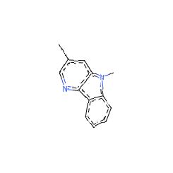 Cc1cnc2c3ccccc3n(C)c2c1